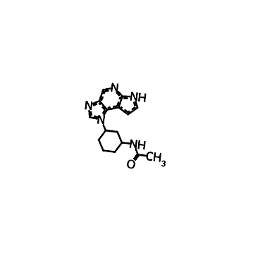 CC(=O)NC1CCCC(n2cnc3cnc4[nH]ccc4c32)C1